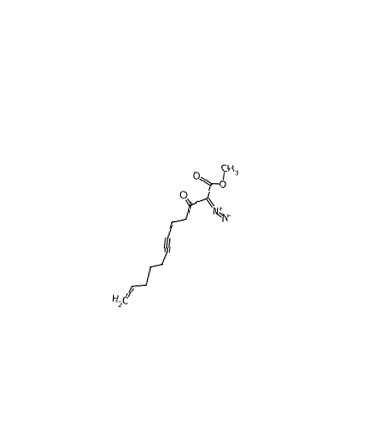 C=CCCCC#CCCC(=O)C(=[N+]=[N-])C(=O)OC